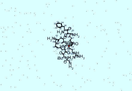 CC[C@H](C)C(NC(=O)CN)C(=O)C(=O)[C@@](CC/C=C\CCC[C@](C)(N)C(=O)C(=O)[C@@H](N)Cc1ccccc1)(CC/C=C\CC[C@@](C)(N)C(=O)CC(=O)[C@H](C)NC)NN[C@H](C=O)CCCNC(N)N